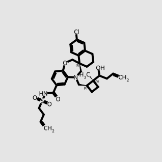 C=CCCS(=O)(=O)NC(=O)c1ccc2c(c1)N(C[C@@H]1CC[C@]1(C)C(O)CC=C)C[C@@]1(CCCc3cc(Cl)ccc31)CO2